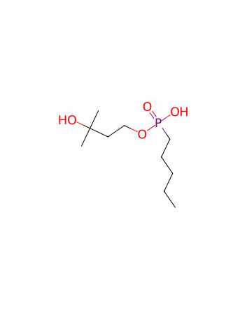 CCCCCP(=O)(O)OCCC(C)(C)O